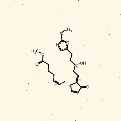 COC(=O)CCC/C=C\C[C@H]1C=CC(=O)/C1=C/C[C@@H](O)CCc1cnc(SC)s1